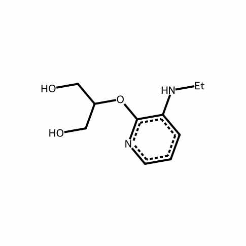 CCNc1cccnc1OC(CO)CO